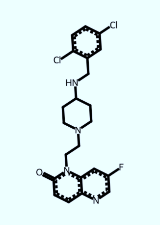 O=c1ccc2ncc(F)cc2n1CCN1CCC(NCc2cc(Cl)ccc2Cl)CC1